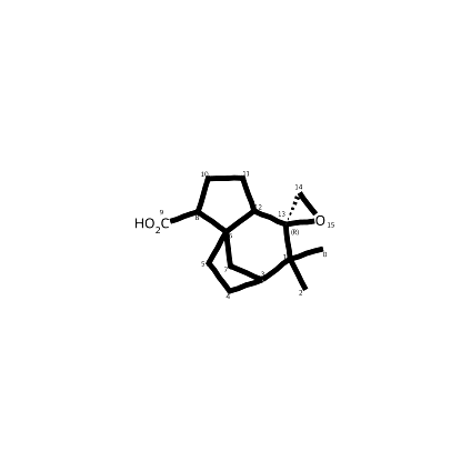 CC1(C)C2CCC3(C2)C(C(=O)O)CCC3[C@]12CO2